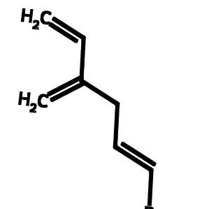 C=CC(=C)CC=CBr